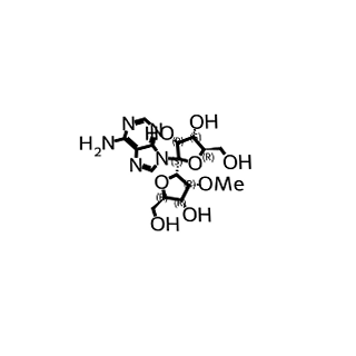 CO[C@H]1C([C@@]2(n3cnc4c(N)ncnc43)O[C@H](CO)[C@@H](O)[C@H]2O)O[C@H](CO)[C@H]1O